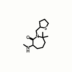 CNC1CCCC(C)(C)N(CC2CCCS2)C1=O